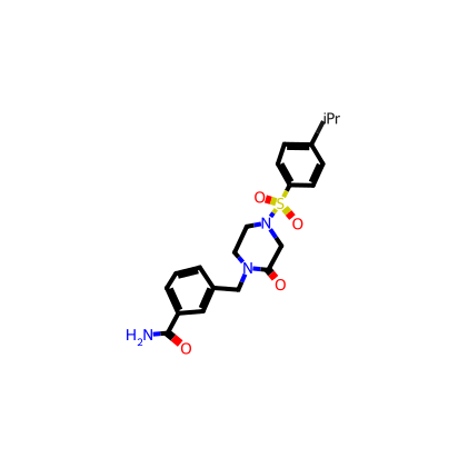 CC(C)c1ccc(S(=O)(=O)N2CCN(Cc3cccc(C(N)=O)c3)C(=O)C2)cc1